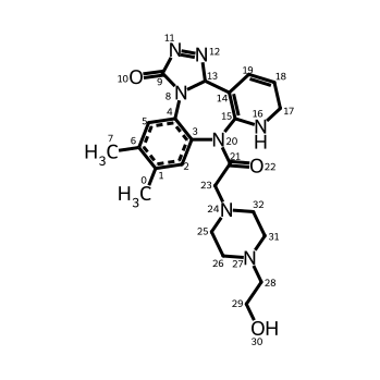 Cc1cc2c(cc1C)N1C(=O)N=NC1C1=C(NCC=C1)N2C(=O)CN1CCN(CCO)CC1